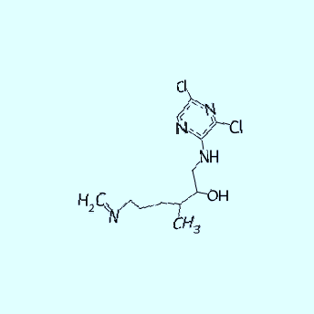 C=NCCCC(C)C(O)CNc1ncc(Cl)nc1Cl